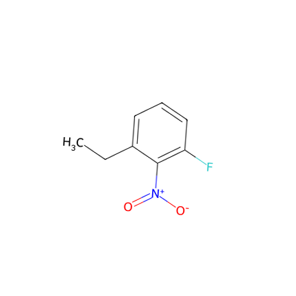 CCc1cccc(F)c1[N+](=O)[O-]